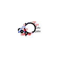 CO[C@H]1/C=C/O[C@@]2(C)Oc3c(C)c(O)c4c(=O)c(c5oc6c7c(cc(O)c6nc-5c4c3C2=O)N(C)CCCN7C)NC(=O)/C(C)=C\C=C\[C@H](C)[C@H](O)[C@@H](C)[C@@H](O)[C@@H](C)[C@H](OC(C)=O)C1